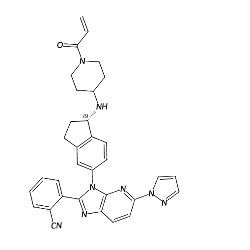 C=CC(=O)N1CCC(N[C@H]2CCc3cc(-n4c(-c5ccccc5C#N)nc5ccc(-n6cccn6)nc54)ccc32)CC1